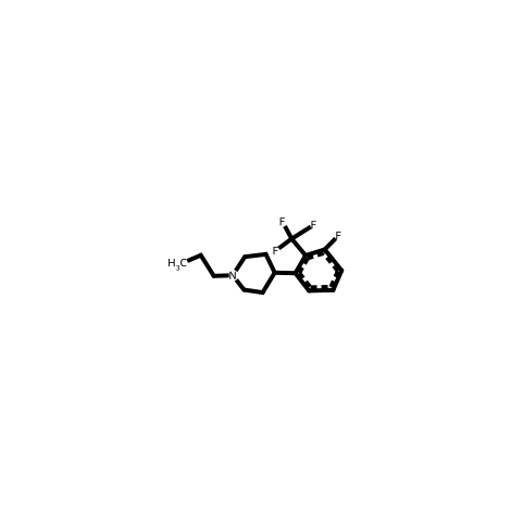 CCCN1CCC(c2cccc(F)c2C(F)(F)F)CC1